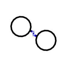 C1CCCCCCCCC(=NN=C2CCCCCCCCCCCCCCCCC2)CCCCCCCC1